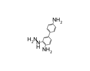 NNc1cc(-c2ccc(N)cc2)ccc1N